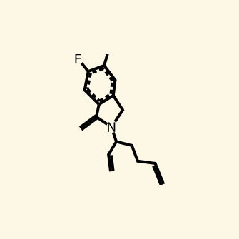 C=CCCC(C=C)N1Cc2cc(C)c(F)cc2C1=C